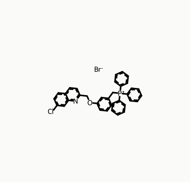 Clc1ccc2ccc(COc3cccc(C[P+](c4ccccc4)(c4ccccc4)c4ccccc4)c3)nc2c1.[Br-]